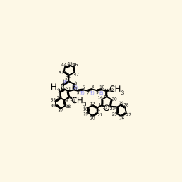 C\C=C(/C=C(/C=C/C=C/C=C/C(C)=C1C=C(c2ccccc2)OC(c2ccccc2)=C1)c1ccc2ccccc2c1C)c1ccccc1